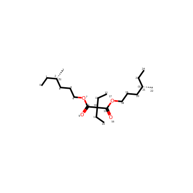 CC[C@H](C)CCCOC(=O)C(CC)(CC)C(=O)OCCC[C@@H](C)CC